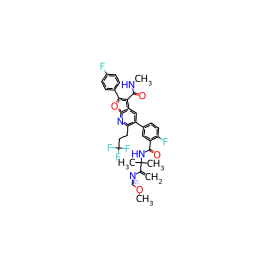 C=C(/N=C\OC)C(C)(C)NC(=O)c1cc(-c2cc3c(C(=O)NC)c(-c4ccc(F)cc4)oc3nc2CCC(F)(F)F)ccc1F